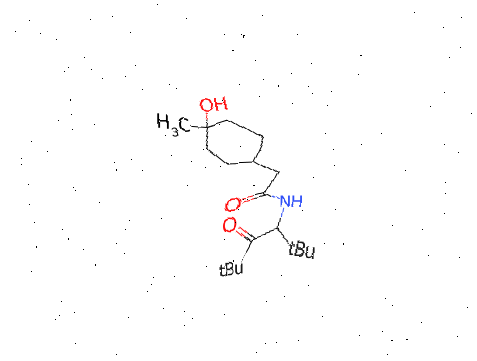 CC1(O)CCC(CC(=O)NC(C(=O)C(C)(C)C)C(C)(C)C)CC1